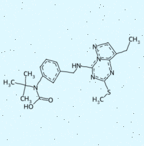 CCc1cnn2c(NCc3cccc(N(C(=O)O)C(C)(C)C)c3)nc(SC)nc12